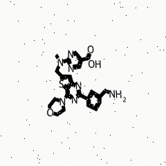 CN(Cc1cc2nc(-c3cccc(CN)c3)nc(N3CCOCC3)c2s1)c1ncc(C(=O)O)cn1